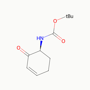 CC(C)(C)OC(=O)N[C@H]1CCC=CC1=O